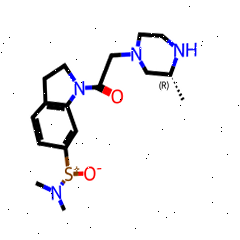 C[C@@H]1CN(CC(=O)N2CCc3ccc([S+]([O-])N(C)C)cc32)CCN1